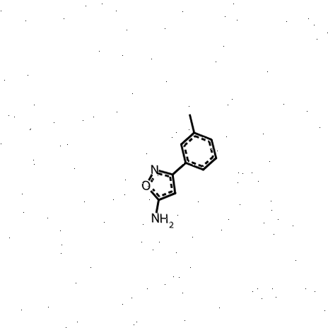 Cc1cccc(-c2cc(N)on2)c1